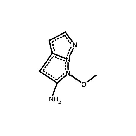 COn1c(N)cc2ccnn21